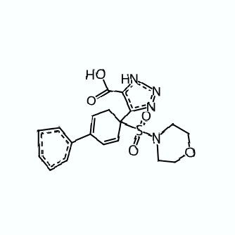 O=C(O)c1[nH]nnc1C1(S(=O)(=O)N2CCOCC2)C=CC(c2ccccc2)=CC1